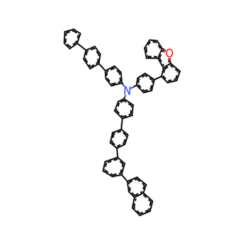 c1ccc(-c2ccc(-c3ccc(N(c4ccc(-c5ccc(-c6cccc(-c7ccc8ccccc8c7)c6)cc5)cc4)c4ccc(-c5cccc6oc7ccccc7c56)cc4)cc3)cc2)cc1